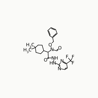 CC1(C)CCC(C(C(=O)NNc2nccc(C(F)(F)F)n2)N(C=O)OCc2ccccc2)CC1